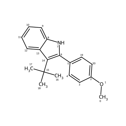 COc1ccc(-c2[nH]c3ccccc3c2C(C)(C)C)cc1